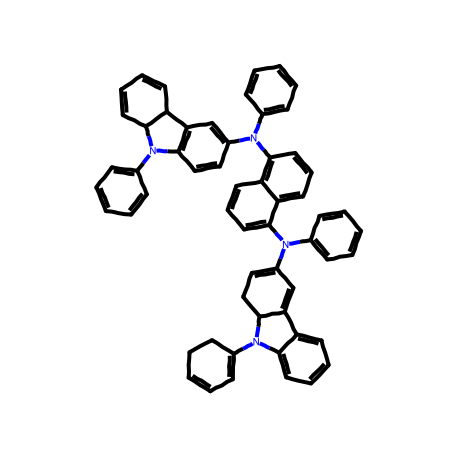 C1=CCCC(N2c3ccccc3C3=CC(N(c4ccccc4)c4cccc5c(N(c6ccccc6)c6ccc7c(c6)C6C=CC=CC6N7c6ccccc6)cccc45)=CCC32)=C1